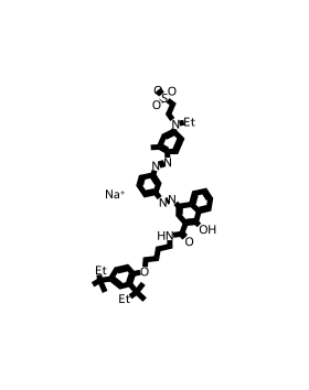 CCN(CCS(=O)(=O)[O-])c1ccc(N=Nc2cccc(N=Nc3cc(C(=O)NCCCCOc4ccc(C(C)(C)CC)cc4C(C)(C)CC)c(O)c4ccccc34)c2)c(C)c1.[Na+]